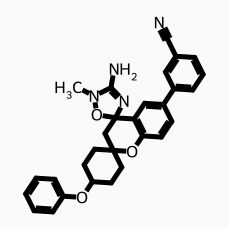 CN1OC2(CC3(CCC(Oc4ccccc4)CC3)Oc3ccc(-c4cccc(C#N)c4)cc32)N=C1N